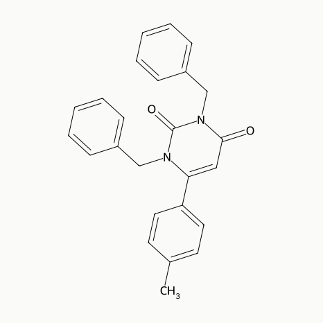 Cc1ccc(-c2cc(=O)n(Cc3ccccc3)c(=O)n2Cc2ccccc2)cc1